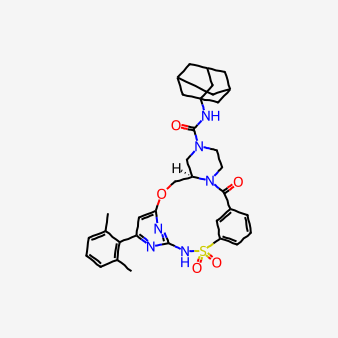 Cc1cccc(C)c1-c1cc2nc(n1)NS(=O)(=O)c1cccc(c1)C(=O)N1CCN(C(=O)NC34CC5CC(CC(C5)C3)C4)C[C@@H]1CO2